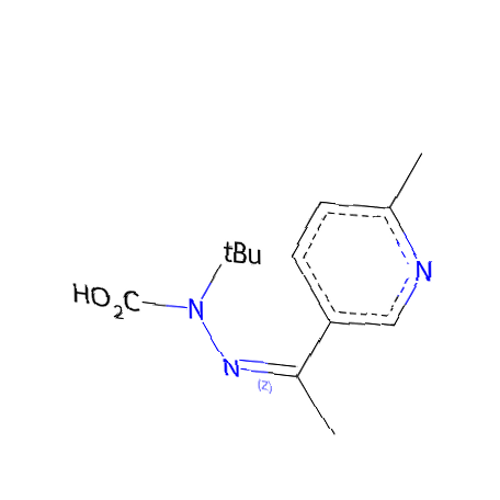 C/C(=N/N(C(=O)O)C(C)(C)C)c1ccc(C)nc1